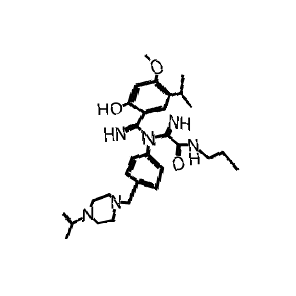 CCCNC(=O)C(=N)N(C(=N)c1cc(C(C)C)c(OC)cc1O)c1ccc(CN2CCN(C(C)C)CC2)cc1